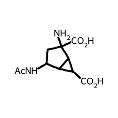 CC(=O)NC1CC(N)(C(=O)O)C2C(C(=O)O)C12